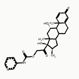 C[C@@H]1CC2C3CCC4=CC(=O)C=CC4(C)C3[C@@H](O)CC2(C)[C@@]1(O)C(=O)COC(=O)Nc1cccnc1